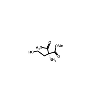 COC(=O)[C@@](N)(CCO)C(N)=O